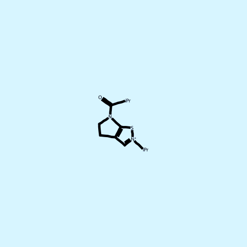 CC(C)C(=O)N1CCc2c[n+](C(C)C)sc21